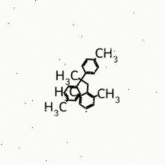 Cc1ccc(C(C)(Cc2c(C)c[c]cc2C)c2ccc(C)cc2)cc1